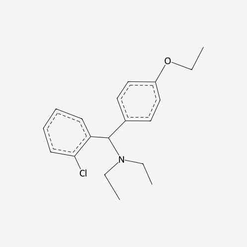 CCOc1ccc(C(c2ccccc2Cl)N(CC)CC)cc1